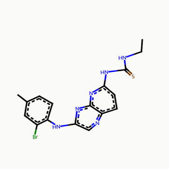 CCNC(=S)Nc1ccc2ncc(Nc3ccc(C)cc3Br)nc2n1